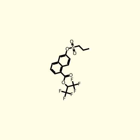 CCCS(=O)(=O)Oc1ccc2c(C(=O)OC(C(F)(F)F)C(F)(F)F)cccc2c1